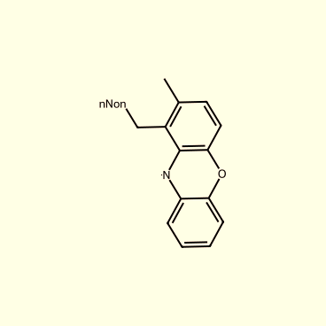 CCCCCCCCCCc1c(C)ccc2c1[N]c1ccccc1O2